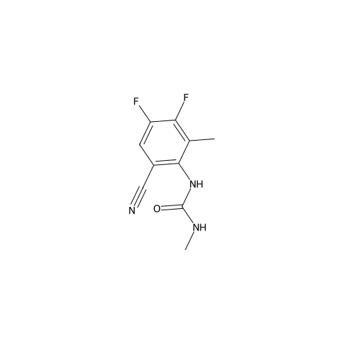 CNC(=O)Nc1c(C#N)cc(F)c(F)c1C